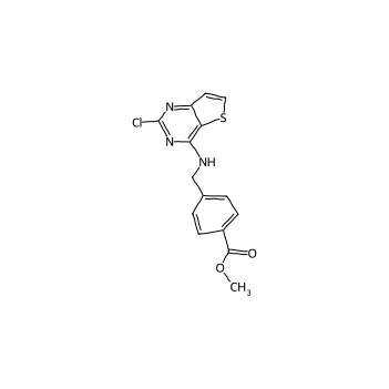 COC(=O)c1ccc(CNc2nc(Cl)nc3ccsc23)cc1